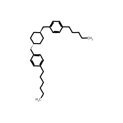 CCCCCCc1ccc(C[C@H]2CC[C@H](Cc3ccc(CCCCC)cc3)CC2)cc1